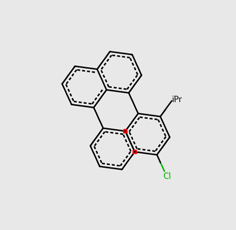 CC(C)c1cc(Cl)ccc1-c1cccc2cccc(-c3ccccc3)c12